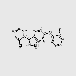 Fc1ccccc1Sc1ncc2c(-c3ccccc3Cl)n[nH]c2n1